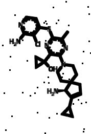 Cc1nc(N2CCC3(CC=C(C4CC4)[C@H]3N)CC2)c(C2(O)CC2)nc1Sc1ccnc(N)c1Cl